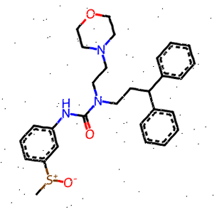 C[S+]([O-])c1cccc(NC(=O)N(CCC(c2ccccc2)c2ccccc2)CCN2CCOCC2)c1